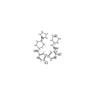 Clc1cnc(N[C@H]2CC[C@H](N3CCCC3)CC2)cc1-c1cnc(Cl)c(NCC2CCOCC2)c1